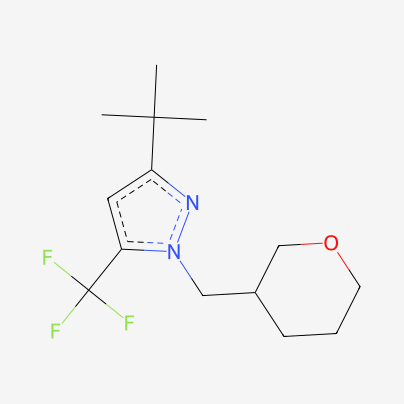 CC(C)(C)c1cc(C(F)(F)F)n(CC2CCCOC2)n1